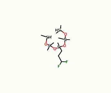 C[SiH](C)O[Si](C)(C)O[Si](C)(CCC(F)F)O[Si](C)(C)O[SiH](C)C